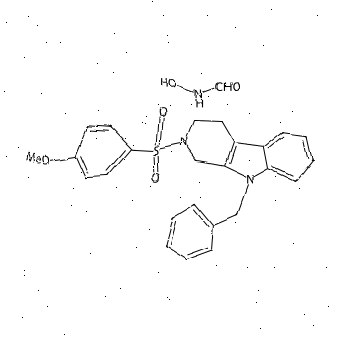 COc1ccc(S(=O)(=O)N2CCc3c(n(Cc4ccccc4)c4ccccc34)C2)cc1.O=CNO